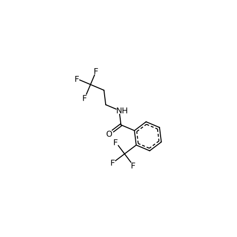 O=C(NCCC(F)(F)F)c1ccccc1C(F)(F)F